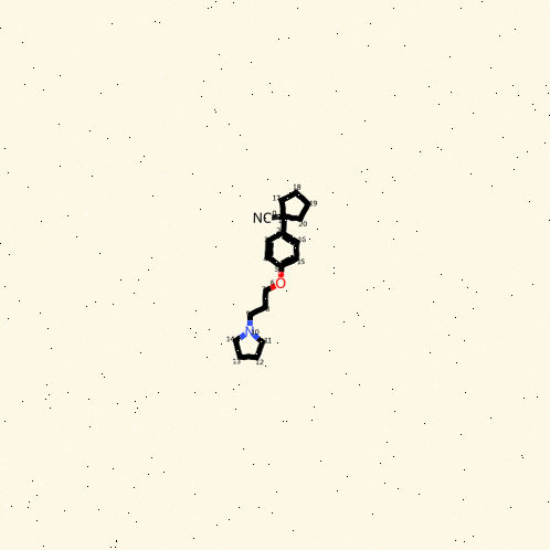 N#CC1(c2ccc(OCCCN3CCCC3)cc2)CCCC1